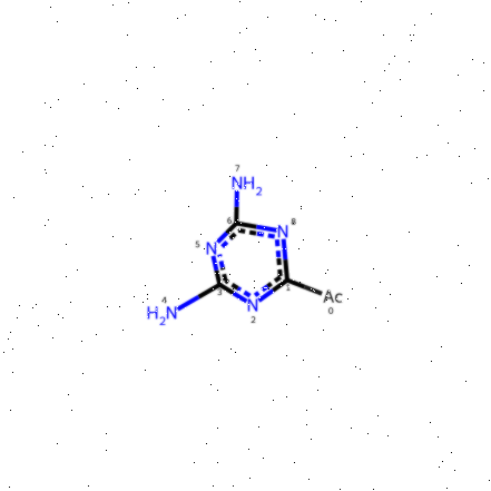 CC(=O)c1nc(N)nc(N)n1